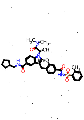 COc1cc(C(=O)NS(=O)(=O)c2ccccc2C)ccc1Cc1cn(C(C)C(=O)N(C)C)c2ccc(C(=O)NCC3CCCC3)cc12